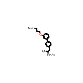 COCCCOc1cccc(-c2ccc(CC(C)NC(C)=O)cc2)c1